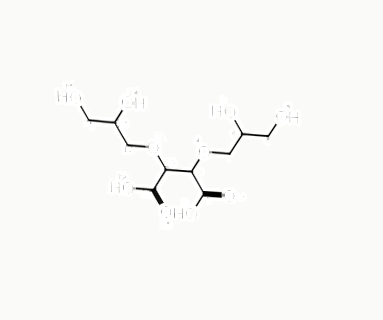 O=C(O)C(OCC(O)CO)C(OCC(O)CO)C(=O)O